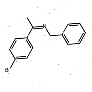 CC(=NCc1ccccc1)c1ccc(Br)cc1